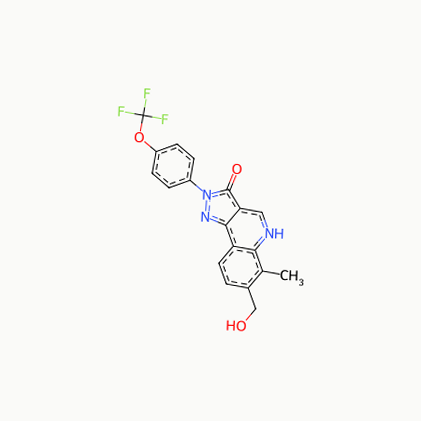 Cc1c(CO)ccc2c3nn(-c4ccc(OC(F)(F)F)cc4)c(=O)c-3c[nH]c12